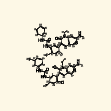 CCn1c(=O)c(-c2cc(NC(=O)Nc3cccc(F)c3)c(F)cc2Cl)cc2cnc(NC)cc21.CCn1c(=O)c(-c2cc(NC(=O)Nc3ccccc3)c(F)cc2C)cc2cnc(NC)cc21